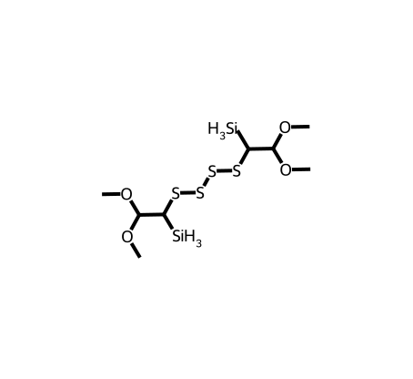 COC(OC)C([SiH3])SSSSC([SiH3])C(OC)OC